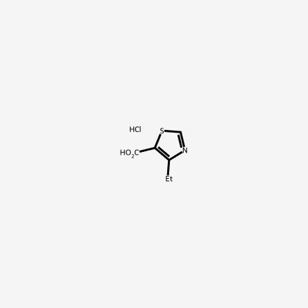 CCc1ncsc1C(=O)O.Cl